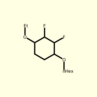 CCCCCCOC1CCC(OCC)C(F)C1F